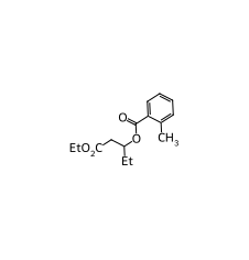 CCOC(=O)CC(CC)OC(=O)c1ccccc1C